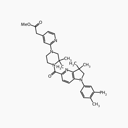 COC(=O)Cc1ccnc(N2CCN(C(=O)c3ccc4c(n3)C(C)(C)CN4c3ccc(C)c(P)c3)C(C)(C)C2)c1